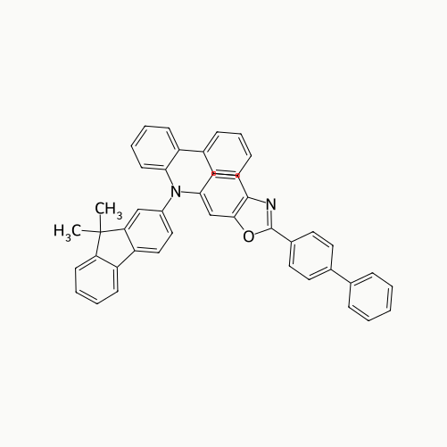 CC1(C)c2ccccc2-c2ccc(N(c3ccc4nc(-c5ccc(-c6ccccc6)cc5)oc4c3)c3ccccc3-c3ccccc3)cc21